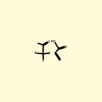 C=CC(=O)O.CC(=O)C(F)(F)F